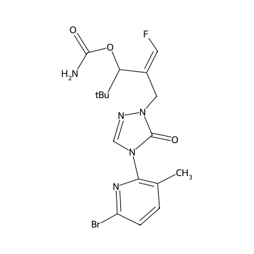 Cc1ccc(Br)nc1-n1cnn(CC(=CF)C(OC(N)=O)C(C)(C)C)c1=O